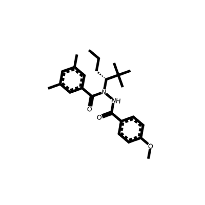 CCC[C@@H](N(NC(=O)c1ccc(OC)cc1)C(=O)c1cc(C)cc(C)c1)C(C)(C)C